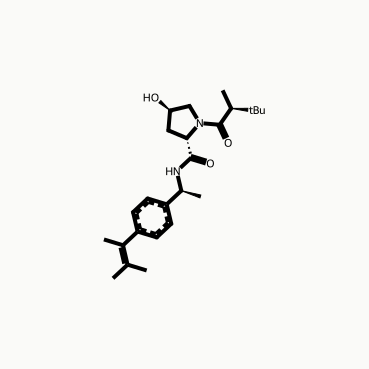 CC(C)=C(C)c1ccc([C@H](C)NC(=O)[C@@H]2C[C@@H](O)CN2C(=O)[C@@H](C)C(C)(C)C)cc1